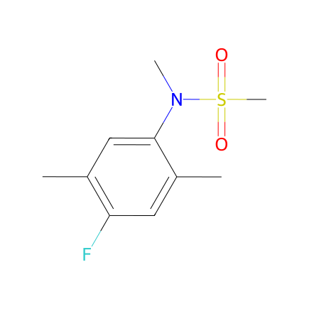 Cc1cc(N(C)S(C)(=O)=O)c(C)cc1F